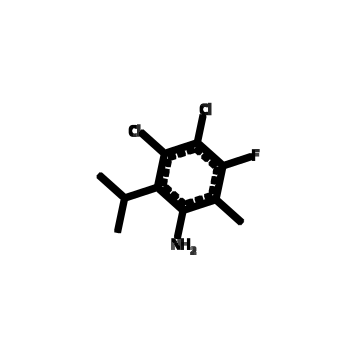 Cc1c(N)c(C(C)C)c(Cl)c(Cl)c1F